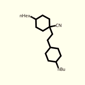 CCCCCCC1CCC(C#N)(CCC2CCC(CCCC)CC2)CC1